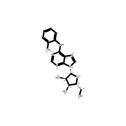 Cc1ccccc1Nc1ncnc2c1ncn2[C@@H]1O[C@H](CO)[C@@H](O)[C@H]1O